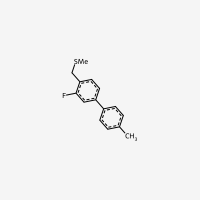 CSCc1ccc(-c2ccc(C)cc2)cc1F